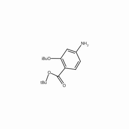 CC(C)COc1cc(N)ccc1C(=O)OC(C)(C)C